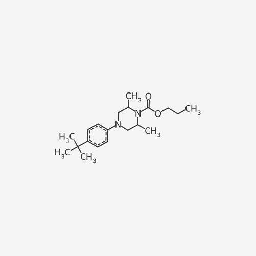 CCCOC(=O)N1C(C)CN(c2ccc(C(C)(C)C)cc2)CC1C